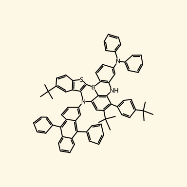 CC(C)(C)c1ccc(-c2c(C(C)(C)C)cc3c4c2Nc2cc(N(c5ccccc5)c5ccccc5)ccc2B4c2sc4ccc(C(C)(C)C)cc4c2N3c2ccc3c(-c4ccccc4)c4ccccc4c(-c4ccccc4)c3c2)cc1